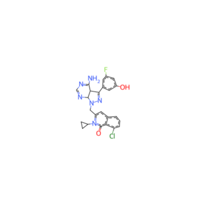 NC1=NC=NC2C1C(c1cc(O)cc(F)c1)=NN2Cc1cc2cccc(Cl)c2c(=O)n1C1CC1